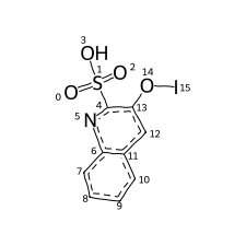 O=S(=O)(O)c1nc2ccccc2cc1OI